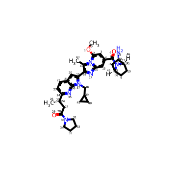 COc1cc(C(=O)N2[C@H]3CC[C@@H]2[C@H](N)C3)cc2nc(-c3cc4ccc([C@@H](C)CC(=O)N5CCCC5)nc4n3CC3CC3)c(C)n12